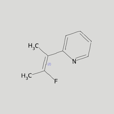 C/C(F)=C(\C)c1ccccn1